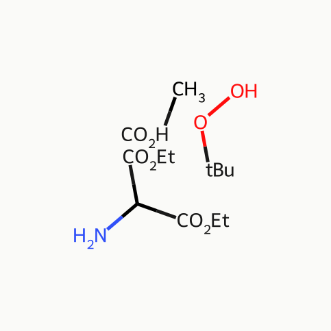 CC(=O)O.CC(C)(C)OO.CCOC(=O)C(N)C(=O)OCC